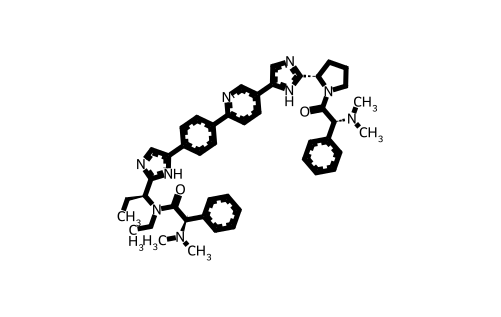 CC[C@@H](c1ncc(-c2ccc(-c3ccc(-c4cnc([C@@H]5CCCN5C(=O)[C@@H](c5ccccc5)N(C)C)[nH]4)cn3)cc2)[nH]1)N(CC)C(=O)[C@@H](c1ccccc1)N(C)C